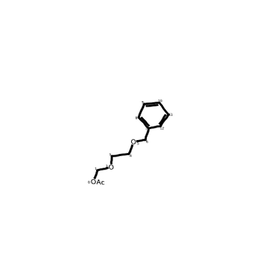 CC(=O)OCOCCOCc1ccccc1